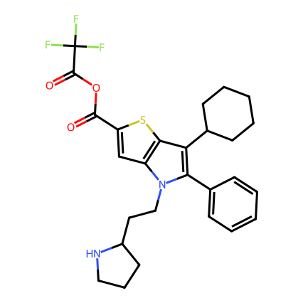 O=C(OC(=O)C(F)(F)F)c1cc2c(s1)c(C1CCCCC1)c(-c1ccccc1)n2CCC1CCCN1